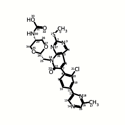 CSc1ncc2cc(-c3ccc(-c4cncc(C)n4)cc3Cl)c(=O)n(C[C@H]3OC[C@@H](NC(=O)O)CO3)c2n1